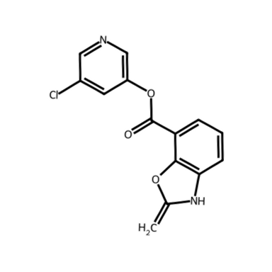 C=C1Nc2cccc(C(=O)Oc3cncc(Cl)c3)c2O1